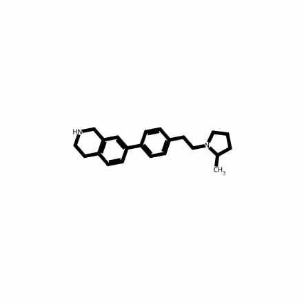 CC1CCCN1CCc1ccc(-c2ccc3c(c2)CNCC3)cc1